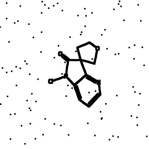 O=C1N(Cl)c2cccnc2C12CCOC2